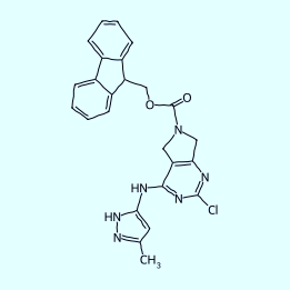 Cc1cc(Nc2nc(Cl)nc3c2CN(C(=O)OCC2c4ccccc4-c4ccccc42)C3)[nH]n1